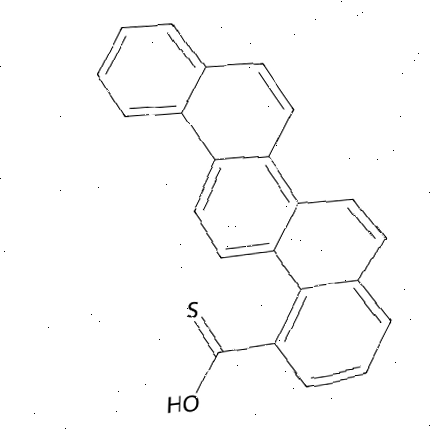 OC(=S)c1cccc2ccc3c4ccc5ccccc5c4ccc3c12